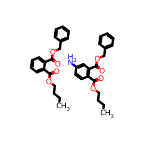 CCCCOC(=O)c1ccc(N)cc1C(=O)OCc1ccccc1.CCCCOC(=O)c1ccccc1C(=O)OCc1ccccc1